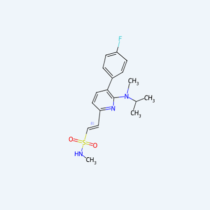 CNS(=O)(=O)/C=C/c1ccc(-c2ccc(F)cc2)c(N(C)C(C)C)n1